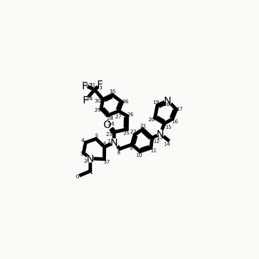 CCN1CCCC(N(Cc2ccc(N(C)c3ccncc3)cc2)C(=O)C=Cc2ccc(C(F)(F)F)cc2)C1